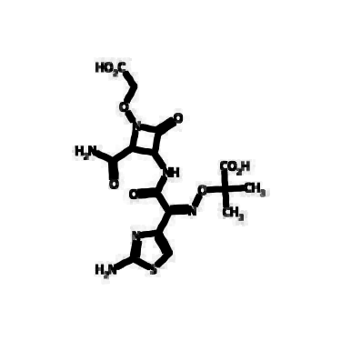 CC(C)(O/N=C(\C(=O)NC1C(=O)N(OCC(=O)O)C1C(N)=O)c1csc(N)n1)C(=O)O